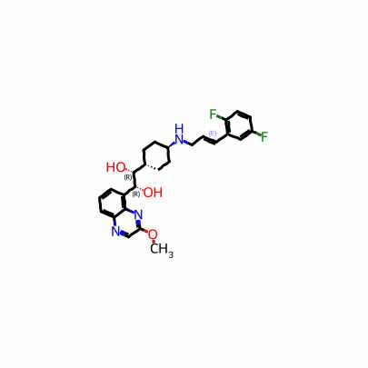 COc1cnc2cccc([C@@H](O)[C@H](O)[C@H]3CC[C@H](NC/C=C/c4cc(F)ccc4F)CC3)c2n1